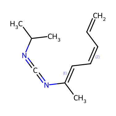 C=C/C=C\C=C(/C)N=C=NC(C)C